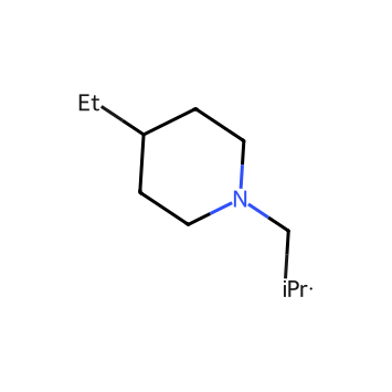 CCC1CCN(C[C](C)C)CC1